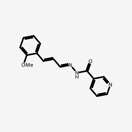 COc1ccccc1C=CC=NNC(=O)c1cccnc1